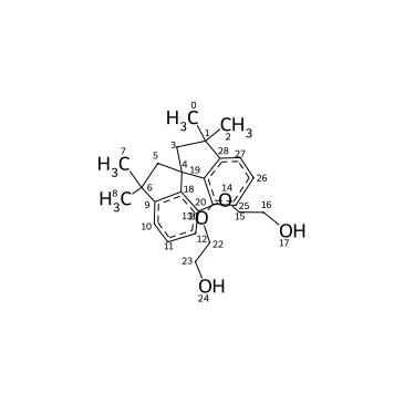 CC1(C)CC2(CC(C)(C)c3cccc(OCCO)c32)c2c(OCCO)cccc21